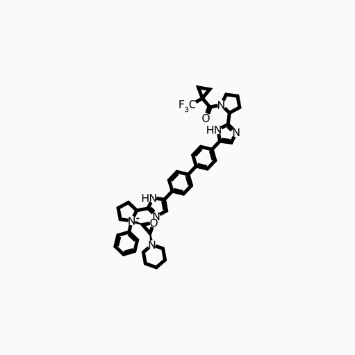 O=C(N1CCCC1c1ncc(-c2ccc(-c3ccc(-c4cnc(C5CCC[N+]5(c5ccccc5)[C@H]5O[C@H]5N5CCCCC5)[nH]4)cc3)cc2)[nH]1)C1(C(F)(F)F)CC1